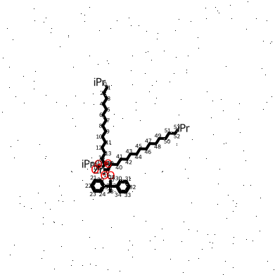 CC(C)CCCCCCCCCCCCCC[C](=O)[Zr](=[O])([O]c1ccccc1C(C)(C)c1ccccc1)([O]C(C)C)[C](=O)CCCCCCCCCCCCCCC(C)C